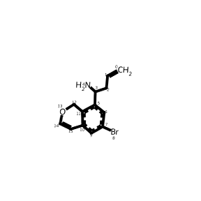 C=CCC(N)c1cc(Br)cc2c1COC=C2